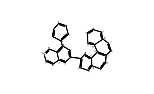 c1ccc(-c2cc(-c3ccc4ccc5ccc6ccccc6c5c4c3)cc3ccncc23)cc1